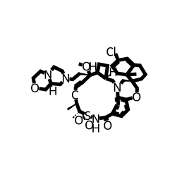 CO[C@@]1(CCN2CCN3CCOC[C@@H]3C2)/C=C/C[C@H](C)[C@@H](C)S(=O)(=O)NC(=O)c2ccc3c(c2)N(C[C@@H]2CC[C@H]21)C[C@@]1(CCCC2=CC(Cl)=CCC21C)CO3